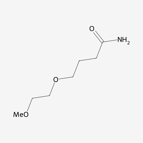 COCCOCCCC(N)=O